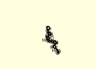 CS(=O)(=O)NCc1cc(F)cc(-c2cncc3[nH]c(-c4n[nH]c5cnc(-c6cncc(OC7CCCCC7)n6)cc45)nc23)c1